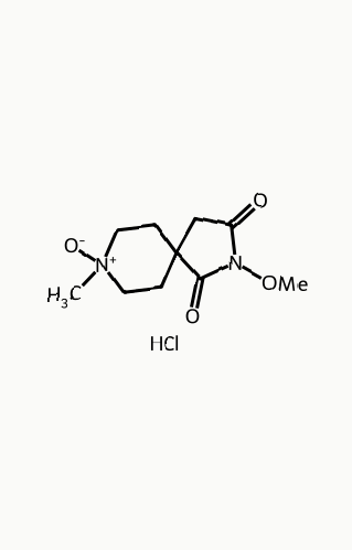 CON1C(=O)CC2(CC[N+](C)([O-])CC2)C1=O.Cl